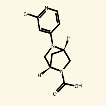 O=C(O)N1C[C@@H]2C[C@H]1CN2c1ccnc(Cl)c1